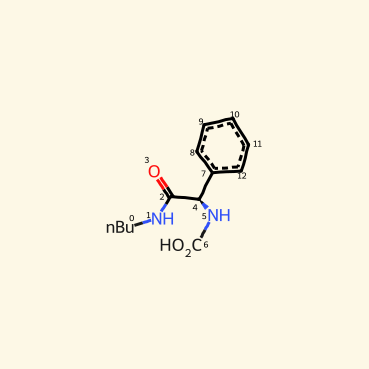 CCCCNC(=O)[C@H](NC(=O)O)c1ccccc1